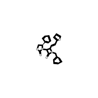 O=C1C(N2C(=O)OC[C@H]2c2ccccc2)C(/C=C/c2ccco2)N1Cc1ccccc1